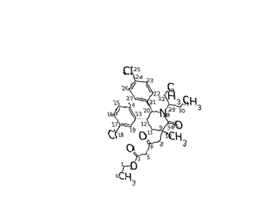 CCOC(=O)CC(=O)C[C@]1(C)C[C@H](c2cccc(Cl)c2)[C@@H](c2ccc(Cl)cc2)N(C(CC)CC)C1=O